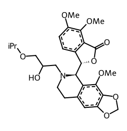 COc1ccc2c(c1OC)C(=O)O[C@@H]2[C@H]1c2c(cc3c(c2OC)OCO3)CCN1CC(O)COC(C)C